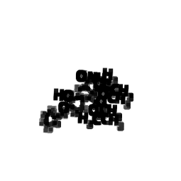 CC(C)(C)OC(=O)C[C@H](C(=O)OC(C)(C)C)/C(=C\c1cccc(OCc2ccccc2)c1O)C(N)=O